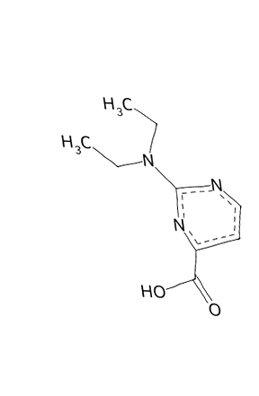 CCN(CC)c1nccc(C(=O)O)n1